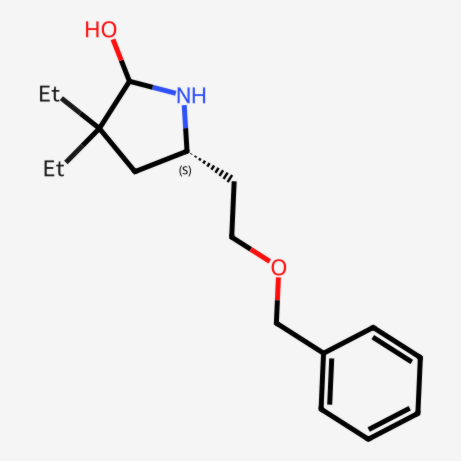 CCC1(CC)C[C@@H](CCOCc2ccccc2)NC1O